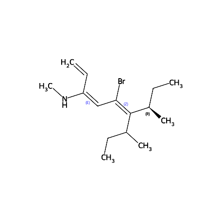 C=C/C(=C\C(Br)=C(/C(C)CC)[C@H](C)CC)NC